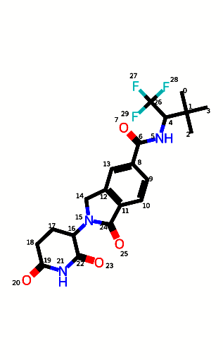 CC(C)(C)C(NC(=O)c1ccc2c(c1)CN(C1CCC(=O)NC1=O)C2=O)C(F)(F)F